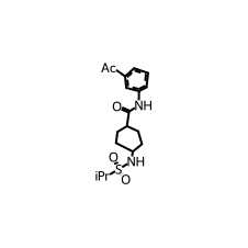 CC(=O)c1cccc(NC(=O)C2CCC(NS(=O)(=O)C(C)C)CC2)c1